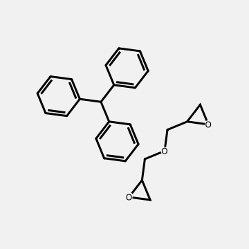 C(OCC1CO1)C1CO1.c1ccc(C(c2ccccc2)c2ccccc2)cc1